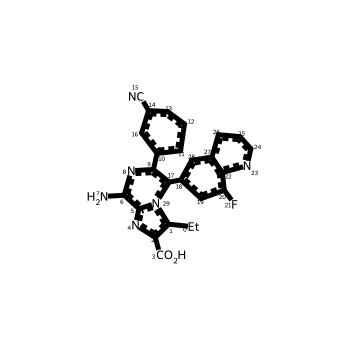 CCc1c(C(=O)O)nc2c(N)nc(-c3cccc(C#N)c3)c(-c3cc(F)c4ncccc4c3)n12